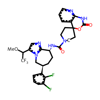 COC(c1cnc2n1C[C@H](c1cccc(F)c1F)CC[C@H]2NC(=O)N1CCC2(CC1)OC(=O)Nc1ncccc12)C(F)(F)F